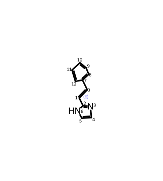 C(=C\c1ncc[nH]1)/c1ccccc1